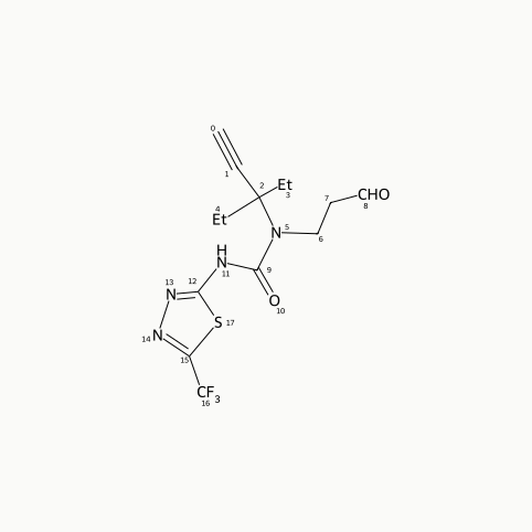 C#CC(CC)(CC)N(CCC=O)C(=O)Nc1nnc(C(F)(F)F)s1